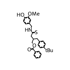 COc1cc(CNC(=S)CC(COC(=O)c2ccccc2)Cc2ccc(C(C)(C)C)cc2)ccc1O